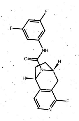 O=C(Nc1cc(F)cc(F)c1)N1[C@@H]2CC[C@H]1c1ccnc(F)c1C2